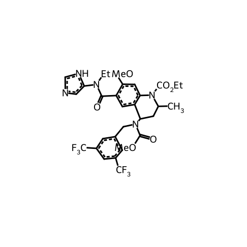 CCOC(=O)N1c2cc(OC)c(C(=O)N(CC)c3cnc[nH]3)cc2C(N(Cc2cc(C(F)(F)F)cc(C(F)(F)F)c2)C(=O)OC)CC1C